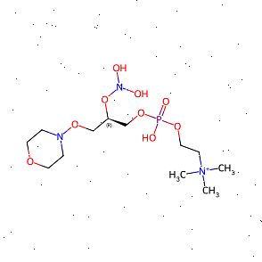 C[N+](C)(C)CCOP(=O)(O)OC[C@@H](CON1CCOCC1)ON(O)O